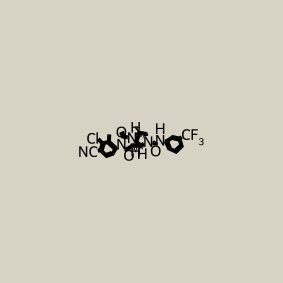 Cc1c(N2C(=O)[C@@H]3[C@@H]4C[C@@H](CN4C(=O)Nc4cccc(C(F)(F)F)c4)N3C2=O)ccc(C#N)c1Cl